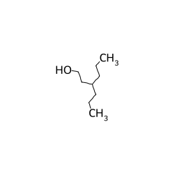 CCCC(CCC)CCO